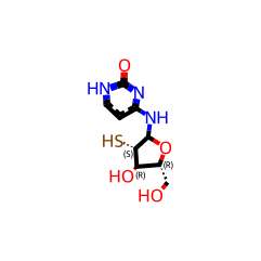 O=c1nc(NC2O[C@H](CO)[C@@H](O)[C@@H]2S)cc[nH]1